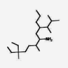 CCCC(CC(N)C(C)CCC(C)(CC)CC)C(C)C(C)C